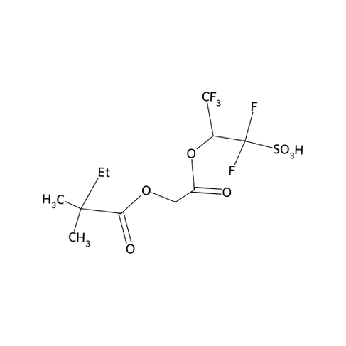 CCC(C)(C)C(=O)OCC(=O)OC(C(F)(F)F)C(F)(F)S(=O)(=O)O